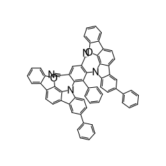 N#Cc1cc(C#N)c(-n2c3ccc(-c4ccccc4)cc3c3ccc4c5ccccc5oc4c32)c(-c2ccccc2)c1-n1c2ccc(-c3ccccc3)cc2c2ccc3c4ccccc4oc3c21